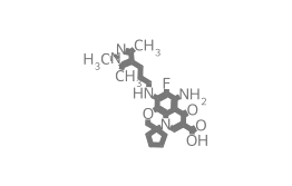 Cc1nn(C)c(C)c1CCCNc1c(F)c(N)c2c(=O)c(C(=O)O)cn3c2c1OCC31CCCC1